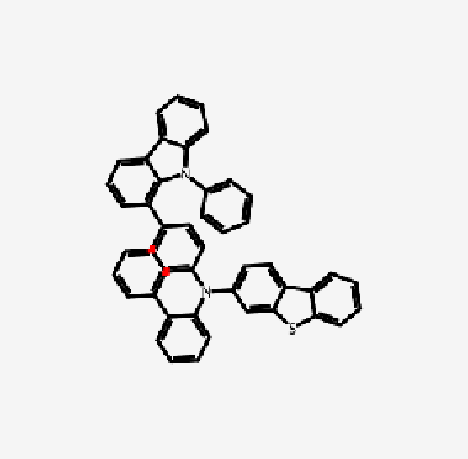 c1ccc(-c2ccccc2N(c2ccc(-c3cccc4c5ccccc5n(-c5ccccc5)c34)cc2)c2ccc3c(c2)sc2ccccc23)cc1